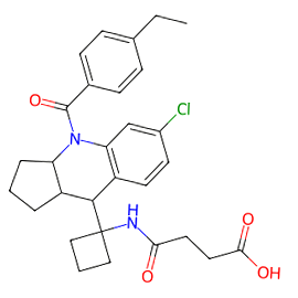 CCc1ccc(C(=O)N2c3cc(Cl)ccc3C(C3(NC(=O)CCC(=O)O)CCC3)C3CCCC32)cc1